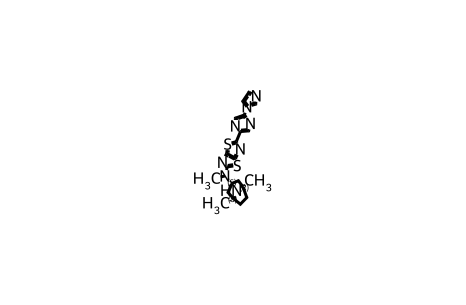 CN(c1nc2sc(-c3cnc(-n4ccnc4)cn3)nc2s1)[C@H]1C[C@]2(C)CC[C@](C)(C1)N2